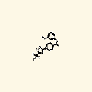 CSc1c[c]cc(OC(C)C2CCN(c3nc(C(F)(F)F)no3)CC2)c1